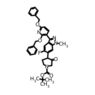 Cn1nc(-c2ccc(OCc3ccccc3)nc2OCc2ccccc2)c2cc(F)c(C3CCN(C(=O)OC(C)(C)C)CC3=O)cc21